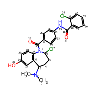 CN(C)C1CCC(Cl)N(C(=O)c2ccc(NC(=O)c3ccccc3Cl)cc2)c2ccc(O)cc21